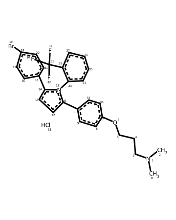 CN(C)CCCOc1ccc(-c2ccc(-c3ccc(Br)cc3)n2-c2ccccc2C(F)(F)F)cc1.Cl